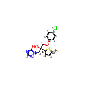 OC(COc1ccc(Cl)cc1)(Cn1cncn1)c1ccc(Br)s1